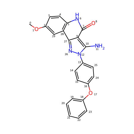 COc1ccc2[nH]c(=O)c3c(N)n(-c4ccc(Oc5ccccc5)cc4)nc3c2c1